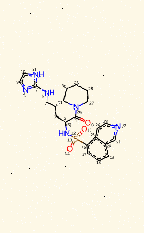 O=C([C@H](CCCNc1ncc[nH]1)NS(=O)(=O)c1cccc2cnccc12)N1CCCCC1